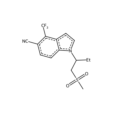 CCC(CS(C)(=O)=O)n1ccc2c(C(F)(F)F)c(C#N)ccc21